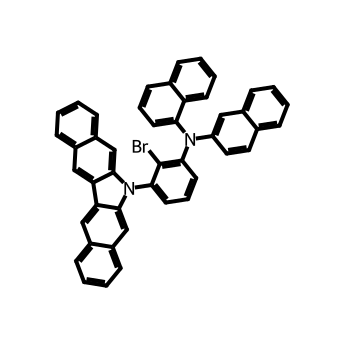 Brc1c(N(c2ccc3ccccc3c2)c2cccc3ccccc23)cccc1-n1c2cc3ccccc3cc2c2cc3ccccc3cc21